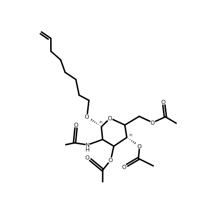 C=CCCCCCCO[C@@H]1OC(COC(C)=O)[C@H](OC(C)=O)C(OC(C)=O)C1NC(C)=O